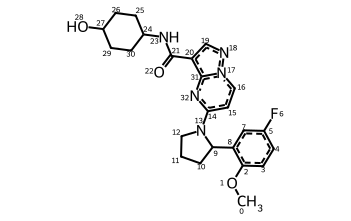 COc1ccc(F)cc1C1CCCN1c1ccn2ncc(C(=O)NC3CCC(O)CC3)c2n1